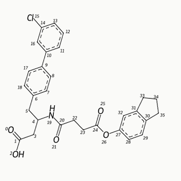 O=C(O)CC(Cc1ccc(-c2cccc(Cl)c2)cc1)NC(=O)CCC(=O)Oc1ccc2c(c1)CCC2